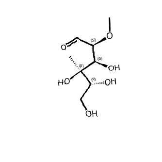 CO[C@H](C=O)[C@@H](O)[C@](C)(O)[C@H](O)CO